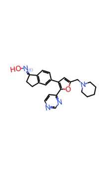 O/N=C1\CCc2cc(-c3cc(CN4CCCCC4)oc3-c3ccncn3)ccc21